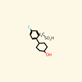 CS(=O)(=O)O.OC1CCC(c2ccc(F)cc2)CC1